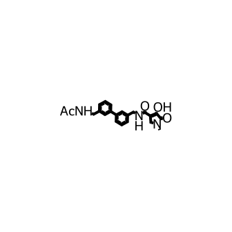 CC(=O)NCc1cccc(-c2cccc(CNC(=O)C3=C(O)C(=O)N(C)C3)c2)c1